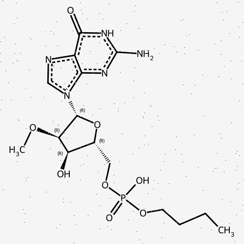 CCCCOP(=O)(O)OC[C@H]1O[C@@H](n2cnc3c(=O)[nH]c(N)nc32)[C@H](OC)[C@@H]1O